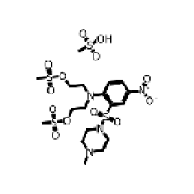 CN1CCN(S(=O)(=O)c2cc([N+](=O)[O-])ccc2N(CCOS(C)(=O)=O)CCOS(C)(=O)=O)CC1.CS(=O)(=O)O